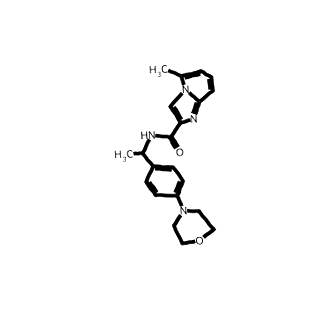 Cc1cccc2nc(C(=O)NC(C)c3ccc(N4CCOCC4)cc3)cn12